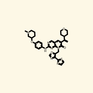 C=C(c1cc2cnc(Nc3ccc(OC4CCCN(C)C4)cc3)nc2n(Cc2ocnc2-c2nccs2)c1=O)C1CCOCC1